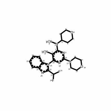 Nc1c(N(N)C2CCOCC2)nc(N2CCOCC2)nc1-n1c(C(F)F)nc2ccccc21